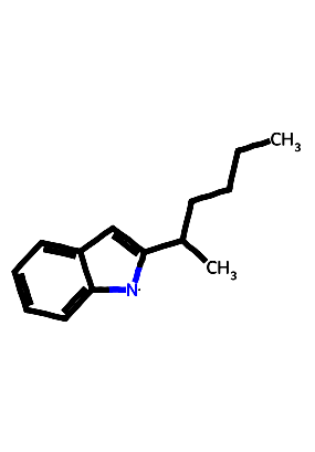 CCCCC(C)C1=Cc2ccccc2[N]1